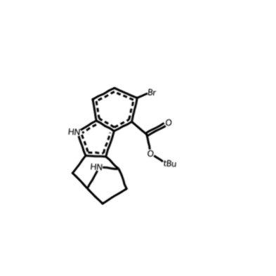 CC(C)(C)OC(=O)c1c(Br)ccc2[nH]c3c(c12)C1CCC(C3)N1